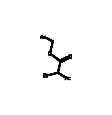 CCC(C(C)=O)C(=O)OCC(C)=O